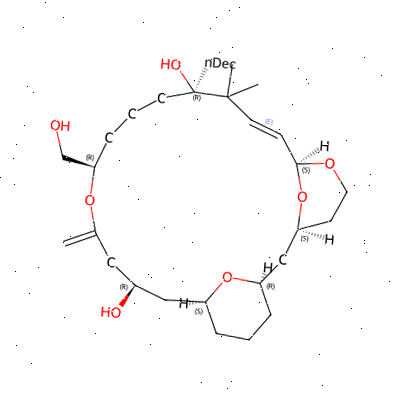 C=C1C[C@H](O)C[C@@H]2CCC[C@H](C[C@@H]3CCO[C@H](/C=C/C(C)(C)[C@@](O)(CCCCCCCCCC)CCC[C@H](CO)O1)O3)O2